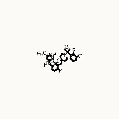 Cc1cc(Nc2ccc(F)c(CC3(C(=O)O)CCN(C4(c5cccc(Cl)c5F)COC4)CC3)n2)n[nH]1